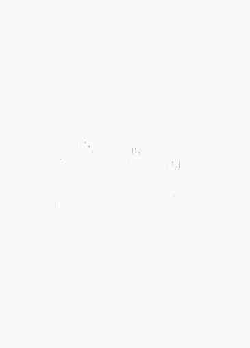 C=CC(=O)Nc1c(C)[nH]c(/C=C2\C(=O)Nc3ccc(F)cc32)c1C